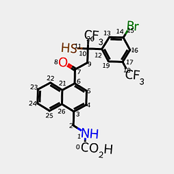 O=C(O)NCc1ccc(C(=O)CC(S)(c2cc(Br)cc(C(F)(F)F)c2)C(F)(F)F)c2ccccc12